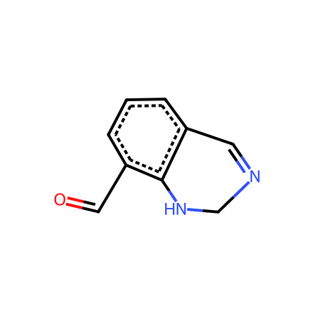 O=Cc1cccc2c1NCN=C2